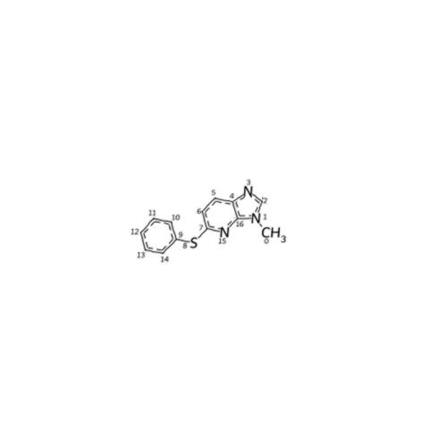 Cn1[c]nc2ccc(Sc3ccccc3)nc21